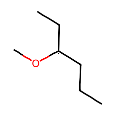 CCC[C](CC)OC